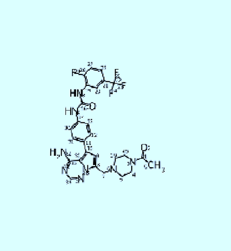 CC(=O)N1CCN(Cc2cc(-c3ccc(NC(=O)Nc4cc(C(F)(F)F)ccc4F)cc3)c3c(N)ncnn23)CC1